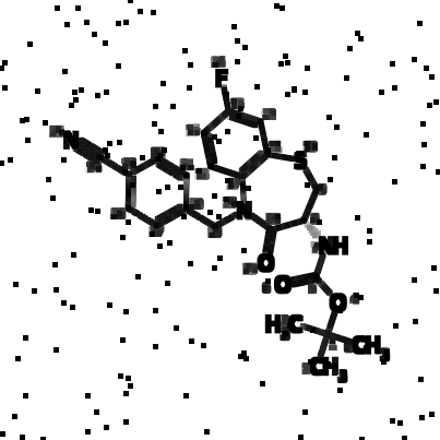 CC(C)(C)OC(=O)N[C@H]1CSc2cc(F)ccc2N(Cc2ccc(C#N)cc2)C1=O